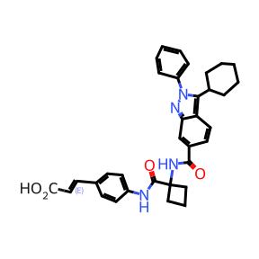 O=C(O)/C=C/c1ccc(NC(=O)C2(NC(=O)c3ccc4c(C5CCCCC5)n(-c5ccccc5)nc4c3)CCC2)cc1